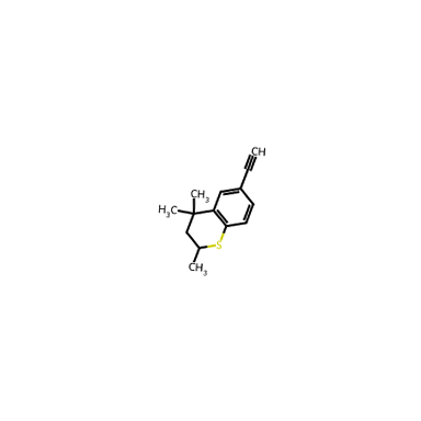 C#Cc1ccc2c(c1)C(C)(C)CC(C)S2